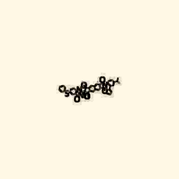 CC(C)c1ccc(N2C(=O)c3cc4cc5c(cc4cc3C2=O)C(=O)C(c2nc3ccc(Sc4ccccc4)cc3c(=O)[nH]2)C5=O)c(C2=CC=CC2)c1